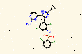 Nc1nccc(-c2[nH]c(C3CC3)nc2-c2cc(F)cc(NS(=O)(=O)c3c(F)cccc3F)c2Cl)n1